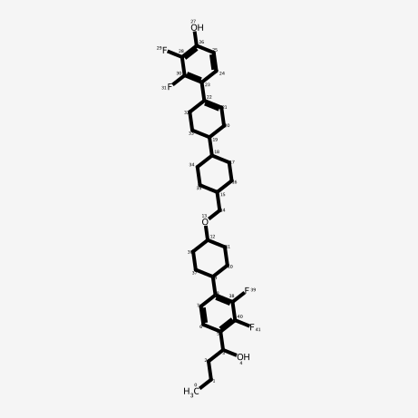 CCCC(O)c1ccc(C2CCC(OCC3CCC(C4CC=C(c5ccc(O)c(F)c5F)CC4)CC3)CC2)c(F)c1F